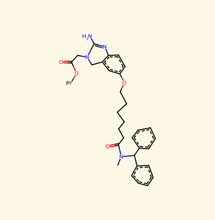 CC(C)OC(=O)CN1Cc2cc(OCCCCCCC(=O)N(C)C(c3ccccc3)c3ccccc3)ccc2N=C1N